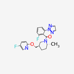 C[C@@H]1CC[C@@H](COc2ccc(F)cn2)CN1C(=O)c1c(F)cccc1-n1nccn1